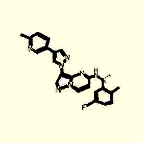 Cc1ccc(-c2cnn(-c3cnn4ccc(N[C@H](C)c5cc(F)ccc5C)nc34)c2)cn1